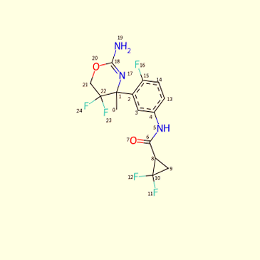 CC1(c2cc(NC(=O)C3CC3(F)F)ccc2F)N=C(N)OCC1(F)F